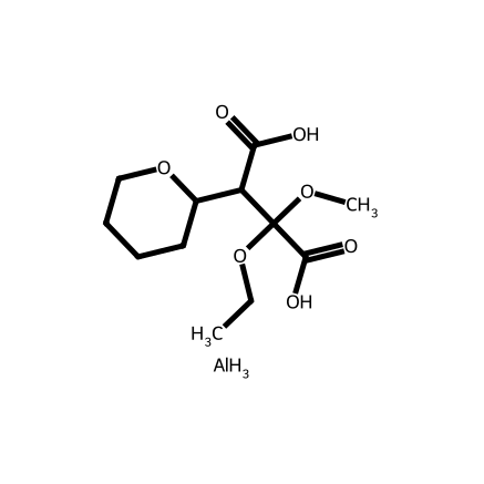 CCOC(OC)(C(=O)O)C(C(=O)O)C1CCCCO1.[AlH3]